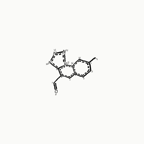 Cc1ccc2cc(C=O)c3nnnn3c2c1